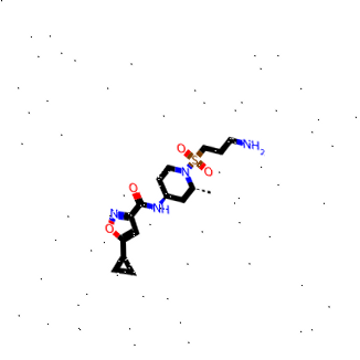 C[C@@H]1C[C@@H](NC(=O)c2cc(C3CC3)on2)CCN1S(=O)(=O)CCCN